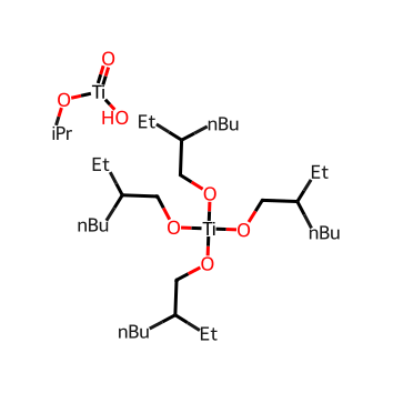 CC(C)[O][Ti](=[O])[OH].CCCCC(CC)C[O][Ti]([O]CC(CC)CCCC)([O]CC(CC)CCCC)[O]CC(CC)CCCC